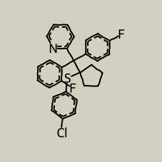 Fc1ccc(C(c2ccccn2)(c2ccccc2F)C2(Sc3ccc(Cl)cc3)CCCC2)cc1